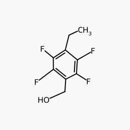 CCc1c(F)c(F)c(CO)c(F)c1F